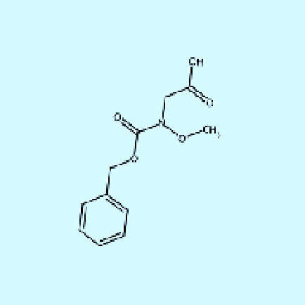 CON(CC(=O)O)C(=O)OCc1ccccc1